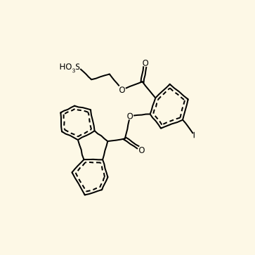 O=C(OCCS(=O)(=O)O)c1ccc(I)cc1OC(=O)C1c2ccccc2-c2ccccc21